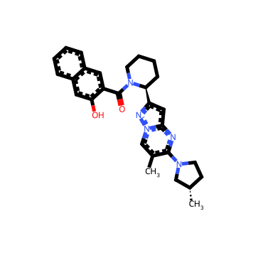 Cc1cn2nc([C@@H]3CCCCN3C(=O)c3cc4ccccc4cc3O)cc2nc1N1CC[C@H](C)C1